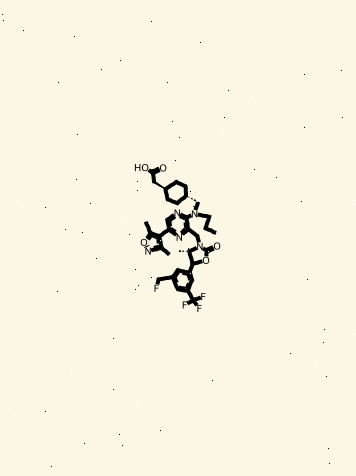 CCCN(C[C@H]1CC[C@H](CC(=O)O)CC1)c1ncc(-c2c(C)noc2C)nc1CN1C(=O)OC(c2cc(CF)cc(C(F)(F)F)c2)[C@@H]1C